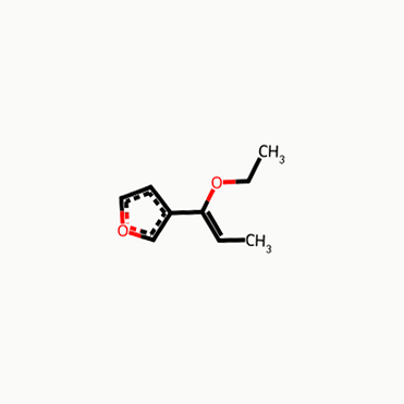 CC=C(OCC)c1ccoc1